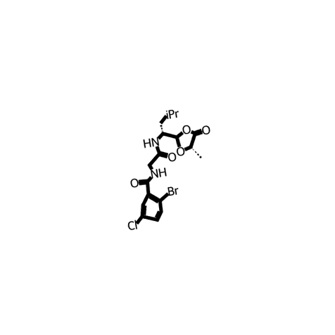 CC(C)C[C@@H](NC(=O)CNC(=O)c1cc(Cl)ccc1Br)C1OC(=O)[C@H](C)O1